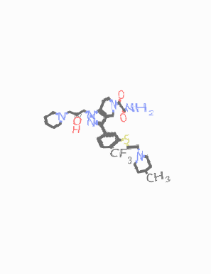 CC1CCN(CCSc2cc(-c3nn(C[C@H](O)CN4CCCCC4)c4c3CN(C(=O)C(N)=O)CC4)ccc2C(F)(F)F)CC1